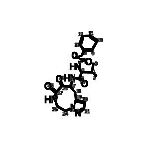 CC(C)C(NS(=O)(=O)c1ccccc1)C(=O)NC1Cc2ccnn2CCNC(=O)C1=O